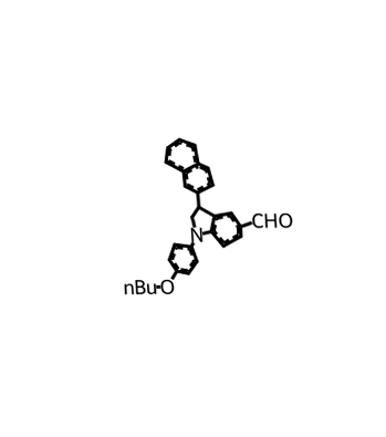 CCCCOc1ccc(N2CC(c3ccc4ccccc4c3)c3cc(C=O)ccc32)cc1